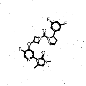 Cc1cn(C)c(=O)n1-c1cc(OC2CN(C(=O)N3N=CCC3c3cc(F)cc(F)c3)C2)c(F)cn1